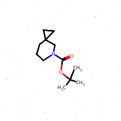 CC(C)(C)OC(=O)N1CCCC2(CC2)C1